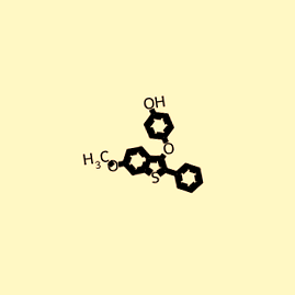 COc1ccc2c(Oc3ccc(O)cc3)c(-c3ccccc3)sc2c1